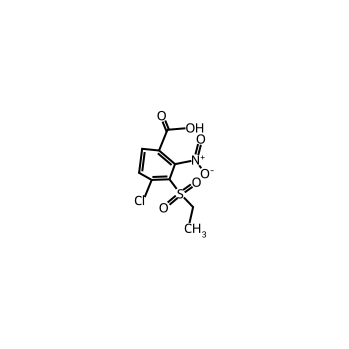 CCS(=O)(=O)c1c(Cl)ccc(C(=O)O)c1[N+](=O)[O-]